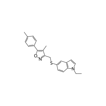 CCn1ccc2cc(SCc3noc(-c4ccc(C)cc4)c3C)ccc21